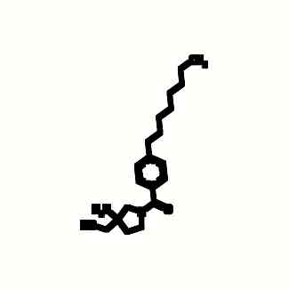 CCCCCCCCc1ccc(C(=O)N2CCC(N)(CO)C2)cc1